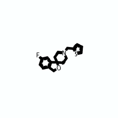 Fc1ccc2c(c1)C1(CCN(Cc3cc[c]s3)CC1)OC2